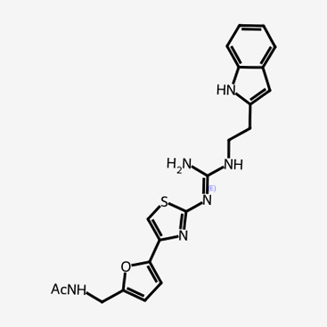 CC(=O)NCc1ccc(-c2csc(/N=C(\N)NCCc3cc4ccccc4[nH]3)n2)o1